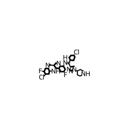 N#Cc1cnc2c(N[C@@H](c3ccc(Cl)cc3)c3cn(C4CCNCC4)nn3)cc(F)cc2c1Nc1ccc(F)c(Cl)c1